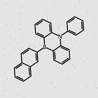 c1ccc(N2c3ccccc3B(c3ccc4ccccc4c3)c3ccccc32)cc1